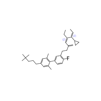 C=C(/C=C(CC)\C(=C/C)C1CC1)CCc1cc(-c2c(C)cc(CCCC(C)(C)C)cc2C)ccc1F